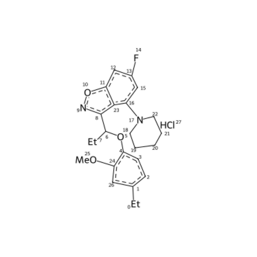 CCc1ccc(OC(CC)c2noc3cc(F)cc(N4CCCCC4)c23)c(OC)c1.Cl